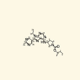 CCC(C)OC(=O)N1CCC(Nc2ncnc3c2nc(-c2cnc(C)nc2)n3CC)C1